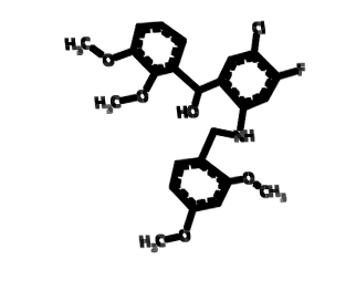 COc1ccc(CNc2cc(F)c(Cl)cc2C(O)c2cccc(OC)c2OC)c(OC)c1